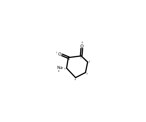 O=C1CCCCC1=O.[Na]